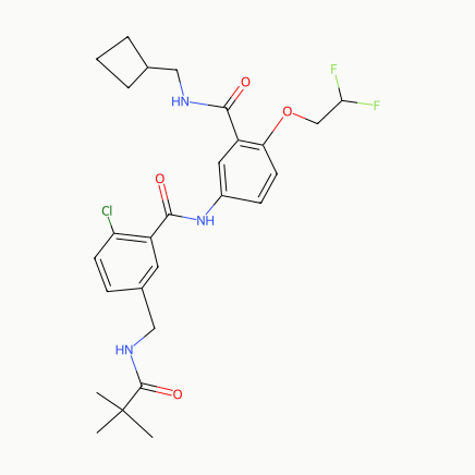 CC(C)(C)C(=O)NCc1ccc(Cl)c(C(=O)Nc2ccc(OCC(F)F)c(C(=O)NCC3CCC3)c2)c1